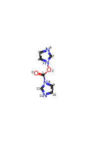 O=C(On1ccnc1)n1ccnc1